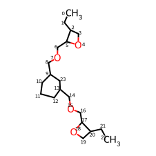 CCC1COC1COCC1CCCC(COCC2OCC2CC)C1